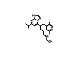 Cc1cc(CC(CCCNCO)C2=CC(C(F)F)=NC3NC=NN23)c(F)cn1